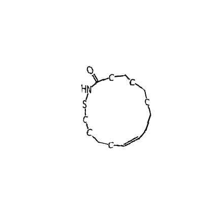 O=C1CCCCCCC/C=C\CCCCSN1